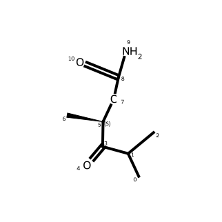 CC(C)C(=O)[C@@H](C)CC(N)=O